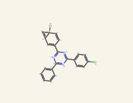 Brc1ccc(-c2nc(C3=CC4=C[C@@H]4C=C3)nc(-c3ccccc3)n2)cc1